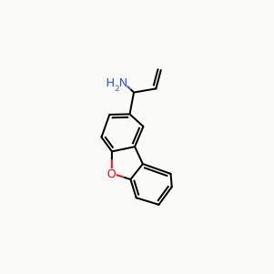 C=CC(N)c1ccc2oc3ccccc3c2c1